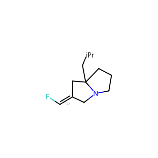 CC(C)CC12CCCN1C/C(=C/F)C2